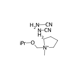 CC(C)OC[N+]1(C)CCCC1.N#CN.N#CN